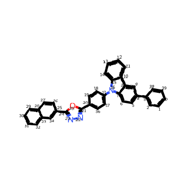 c1ccc(-c2ccc3c(c2)c2ccccc2n3-c2ccc(-c3nnc(-c4ccc5ccccc5c4)o3)cc2)cc1